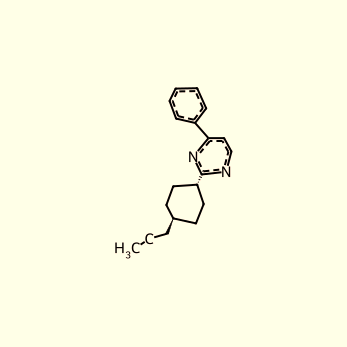 CCC[C@H]1CC[C@H](c2nccc(-c3ccccc3)n2)CC1